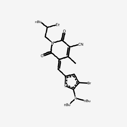 CCCCC(CC)CN1C(=O)C(C#N)=C(C)/C(=C\c2cc(Br)c(N(CCCC)CCCC)s2)C1=O